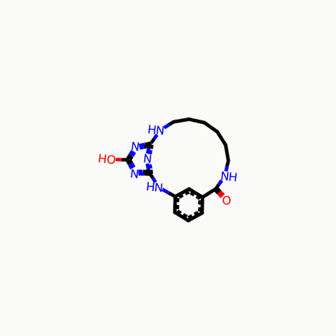 O=C1NCCCCCCNc2nc(O)nc(n2)Nc2cccc1c2